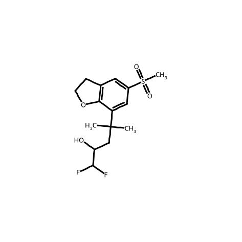 CC(C)(CC(O)C(F)F)c1cc(S(C)(=O)=O)cc2c1OCC2